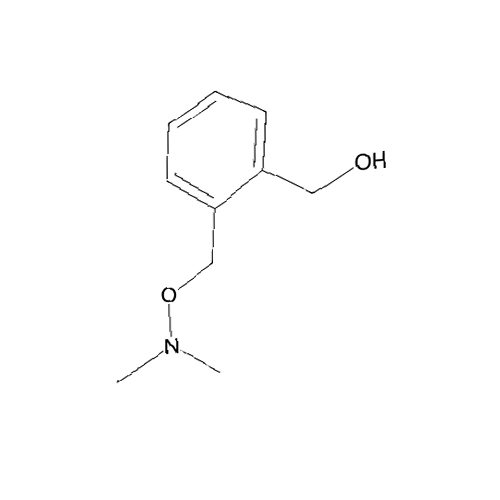 CN(C)OCc1ccccc1CO